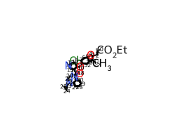 CCOC(=O)/C=C/c1oc2cc(Cl)c(Oc3ccncc3C(=O)N3CCN(C4CC4)c4ccccc43)cc2c1C